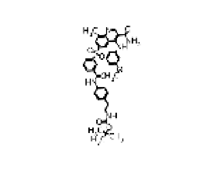 COc1cccc(Nc2c(C(N)=O)cnc3c(C)cc(S(=O)(=O)c4cccc(C(=O)Nc5ccc(CCNC(=O)OC(C)(C)C)cc5)c4)cc23)c1